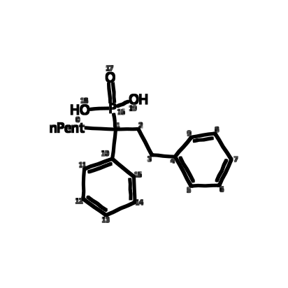 CCCCCC(CCc1ccccc1)(c1ccccc1)P(=O)(O)O